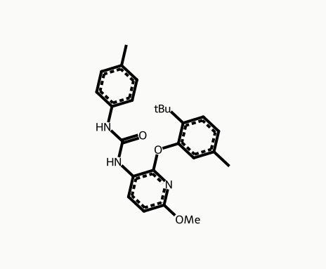 COc1ccc(NC(=O)Nc2ccc(C)cc2)c(Oc2cc(C)ccc2C(C)(C)C)n1